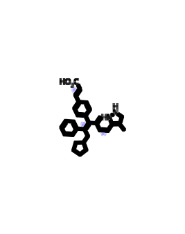 C=C(/C=C\C1=C(C)CNN1)/C(=C(\CC1CCCC1)c1ccccc1)c1ccc(/C=C/C(=O)O)cc1